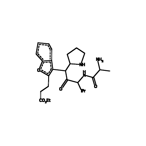 CCOC(=O)CCc1oc2ccccc2c1C(C(=O)C(NC(=O)C(C)N)C(C)C)C1CCCN1